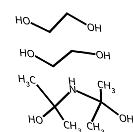 CC(C)(O)NC(C)(C)O.OCCO.OCCO